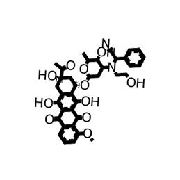 COc1cccc2c1C(=O)c1c(O)c3c(c(O)c1C2=O)C[C@@](O)(C(C)=O)C[C@@H]3OC1CC(N(CCO)C(C#N)c2ccccc2)C(O)C(C)O1